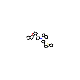 c1cc(-c2cccc3oc4c5ccccc5ccc4c23)cc(N(c2ccc(-c3cccc4c3sc3ccccc34)cc2)c2cccc3ccccc23)c1